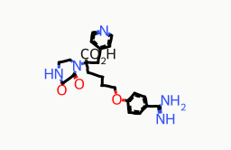 N=C(N)c1ccc(OCCCCC(Cc2ccncc2)(C(=O)O)N2CCNC(=O)C2=O)cc1